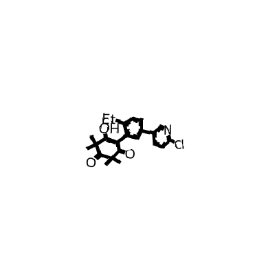 CCc1ccc(-c2ccc(Cl)nc2)cc1C1=C(O)C(C)(C)C(=O)C(C)(C)C1=O